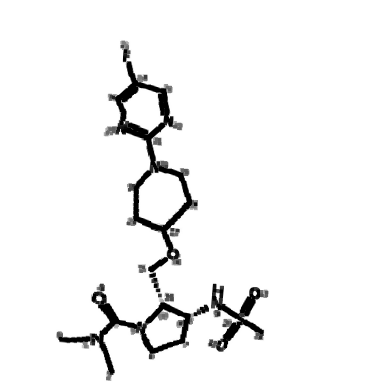 CN(C)C(=O)N1CC[C@@H](NS(C)(=O)=O)[C@H]1COC1CCN(c2ncc(F)cn2)CC1